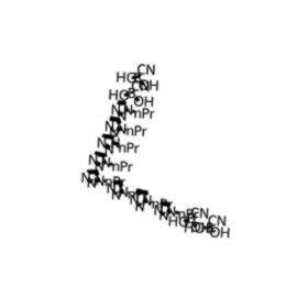 CCCn1ccnn1.CCCn1ccnn1.CCCn1ccnn1.CCCn1ccnn1.CCCn1ccnn1.CCCn1ccnn1.CCCn1ccnn1.CCCn1ccnn1.N#CB(O)O.N#CB(O)O.N#CB(O)O.N#CB(O)O